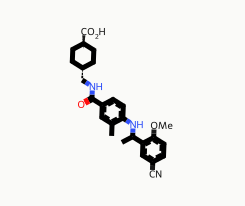 COc1ccc(C#N)cc1C(C)Nc1ccc(C(=O)NC[C@H]2CC[C@H](C(=O)O)CC2)cc1C